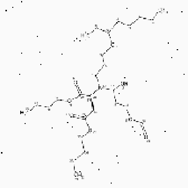 CCCCCC(CC)OCCCN(C(O)CCOC=O)[C@@H](CC(=O)OCCCC)C(=O)OCCCC